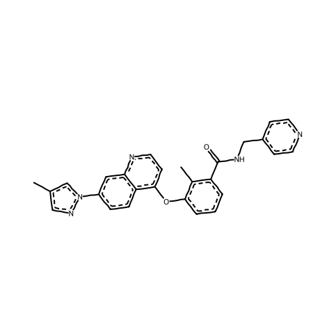 Cc1cnn(-c2ccc3c(Oc4cccc(C(=O)NCc5ccncc5)c4C)ccnc3c2)c1